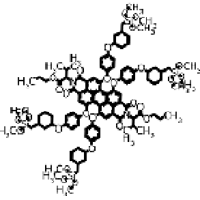 CCCOC(=O)C(C(C)C)N1C(=O)c2cc(Oc3ccc(OC4CCCC(C[Si](OC)(OC)OC)C4)cc3)c3c4c(Oc5ccc(OC6CCCC(C[Si](OC)(OC)OC)C6)cc5)cc5c6c(cc(Oc7ccc(OC8CCCC(C[Si](OC)(OC)OC)C8)cc7)c(c7c(Oc8ccc(OC9CCCC(C[Si](OC)(OC)OC)C9)cc8)cc(c2c37)C1=O)c64)C(=O)N(C(C(=O)OCCC)C(C)C)C5=O